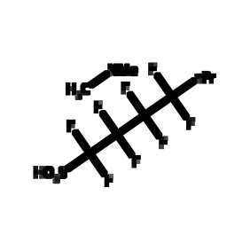 CCCC(F)(F)C(F)(F)C(F)(F)C(F)(F)S(=O)(=O)O.CNC